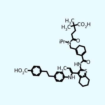 CC=C(Nc1ccc(CCc2ccc(C(=O)O)cc2)cc1)c1c(NC(=O)C2=CCCC(CN(C(=O)CCC(C)(C)C(=O)O)C(C)C)=C2)sc2c1CCCC2